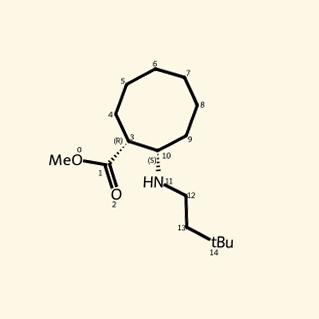 COC(=O)[C@@H]1CCCCCC[C@@H]1NCCC(C)(C)C